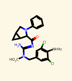 CC(=O)Nc1c(Cl)cc(CN(C(=O)O)C(N)=NC(=O)C2C3CC3CN2c2ccccc2)cc1Cl